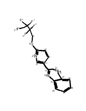 FC(F)(F)C(F)(F)COc1ccc(-c2nc3ccccc3[nH]2)cn1